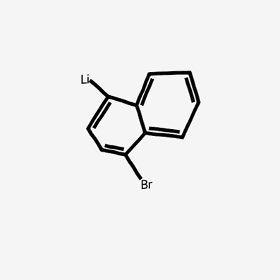 [Li][c]1ccc(Br)c2ccccc12